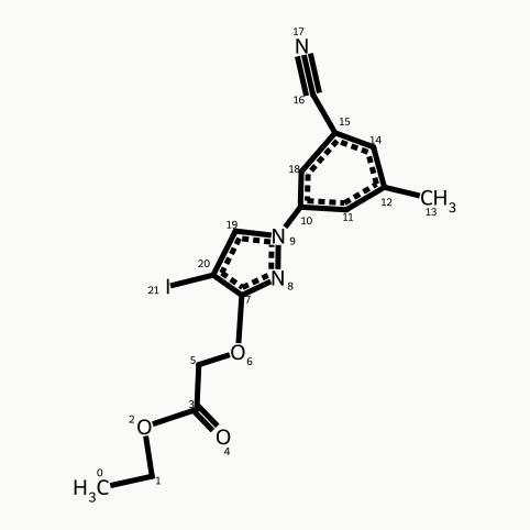 CCOC(=O)COc1nn(-c2cc(C)cc(C#N)c2)cc1I